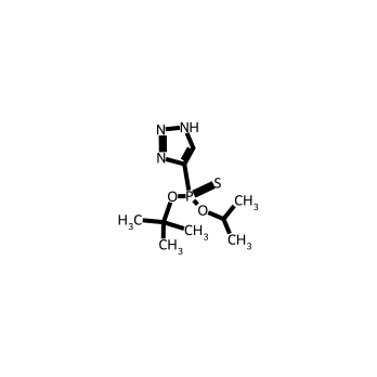 CC(C)OP(=S)(OC(C)(C)C)c1c[nH]nn1